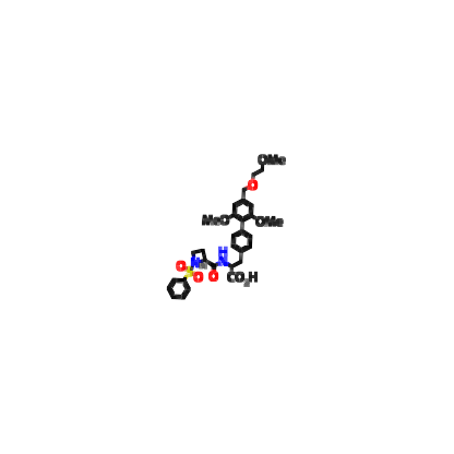 COCCOCc1cc(OC)c(-c2ccc(CC(NC(=O)[C@@H]3CCN3S(=O)(=O)c3ccccc3)C(=O)O)cc2)c(OC)c1